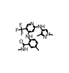 CNC(=O)c1cc(C)ccc1Nc1cc(Nc2cn(C)nc2C)ncc1C(F)(F)F